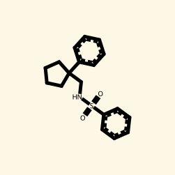 O=S(=O)(NCC1(c2ccccc2)CCCC1)c1ccccc1